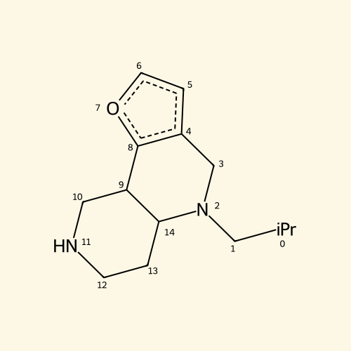 CC(C)CN1Cc2ccoc2C2CNCCC21